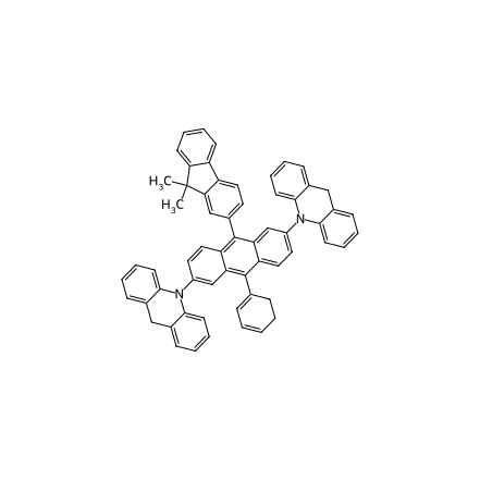 CC1(C)c2ccccc2-c2ccc(-c3c4ccc(N5c6ccccc6Cc6ccccc65)cc4c(C4=CC=CCC4)c4ccc(N5c6ccccc6Cc6ccccc65)cc34)cc21